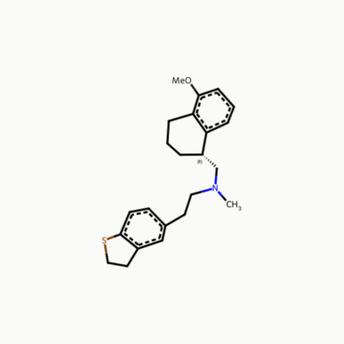 COc1cccc2c1CCC[C@H]2CN(C)CCc1ccc2c(c1)CCS2